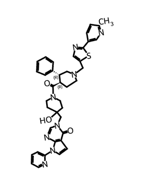 Cc1ccc(-c2ncc(CN3CC[C@@H](C(=O)N4CCC(O)(Cn5cnc6c(ccn6-c6ccccn6)c5=O)CC4)[C@H](c4ccccc4)C3)s2)cn1